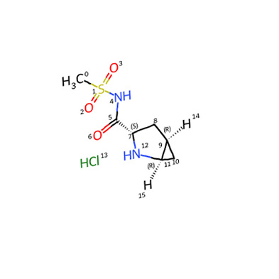 CS(=O)(=O)NC(=O)[C@@H]1C[C@H]2C[C@H]2N1.Cl